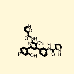 N#Cc1c(-c2cccc(NC(=O)[C@H]3CCCN3)c2)cc(-c2ccc(F)cc2O)nc1NC(=O)c1ccno1